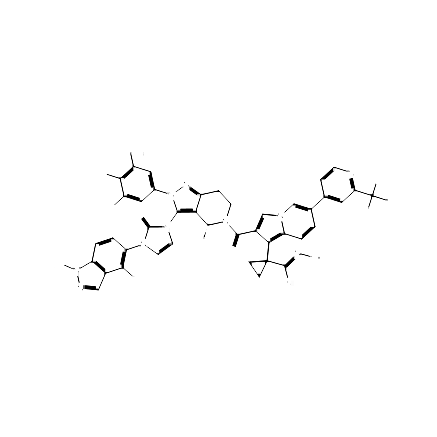 Cc1cc(-n2nc3c(c2-n2ccn(-c4ccc5c(cnn5C)c4F)c2=O)[C@H](C)N(C(=O)c2cn4cc(-c5ccnc(C(F)(F)F)c5)ccc4c2C2(/C(N)=N/O)CC2)CC3)cc(C)c1F